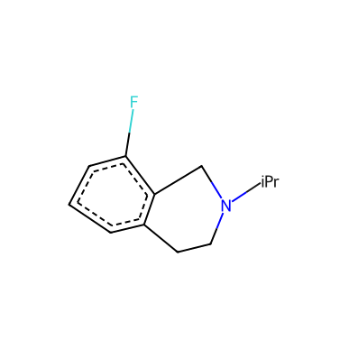 CC(C)N1CCc2cccc(F)c2C1